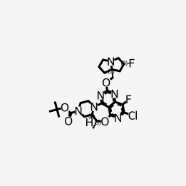 C[C@@H]1Oc2nc(Cl)c(F)c3nc(OC[C@@]45CCCN4C[C@H](F)C5)nc(c23)N2CCN(C(=O)OC(C)(C)C)C[C@@H]12